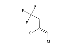 FC(F)(F)CC(Cl)=CCl